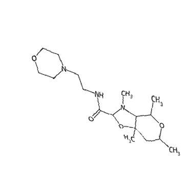 CC1CC2(C)OC(C(=O)NCCN3CCOCC3)N(C)C2C(C)O1